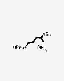 CCCCCCCCC(C)CCCC.N